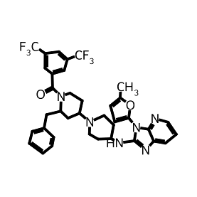 Cc1ccc(-n2c(NC3CCN(C4CCN(C(=O)c5cc(C(F)(F)F)cc(C(F)(F)F)c5)C(Cc5ccccc5)C4)CC3)nc3cccnc32)o1